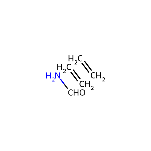 C=C.C=C.NC=O